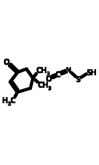 CC1=CC(=O)CC(C)(C)C1.O=C=NSS